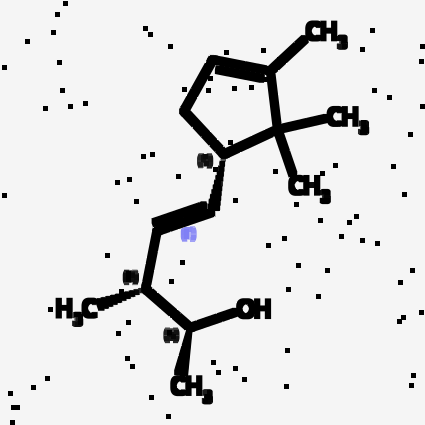 CC1=CC[C@@H](/C=C/[C@@H](C)[C@H](C)O)C1(C)C